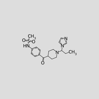 CCC(N1CCC(C(=O)c2ccc(NS(C)(=O)=O)cc2)CC1)n1ccnc1